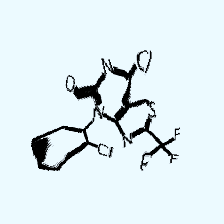 O=c1nc(Cl)c2sc(C(F)(F)F)nc2n1-c1ccccc1Cl